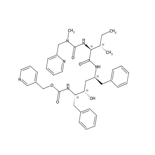 CC[C@H](C)[C@H](NC(=O)N(C)Cc1ccccn1)C(=O)N[C@@H](Cc1ccccc1)C[C@H](O)[C@H](Cc1ccccc1)NC(=O)OCc1cccnc1